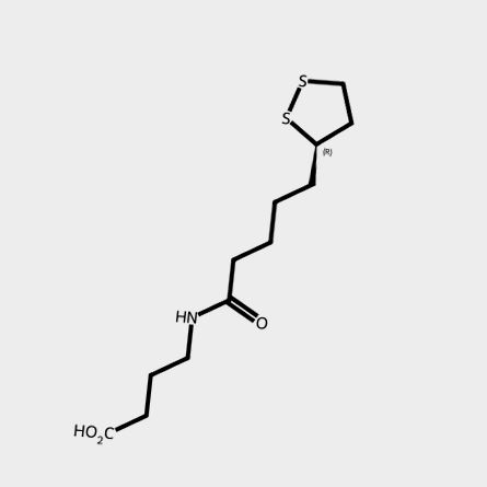 O=C(O)CCCNC(=O)CCCC[C@@H]1CCSS1